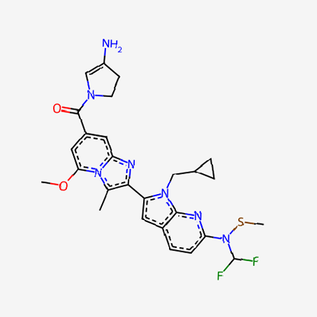 COc1cc(C(=O)N2C=C(N)CC2)cc2nc(-c3cc4ccc(N(SC)C(F)F)nc4n3CC3CC3)c(C)n12